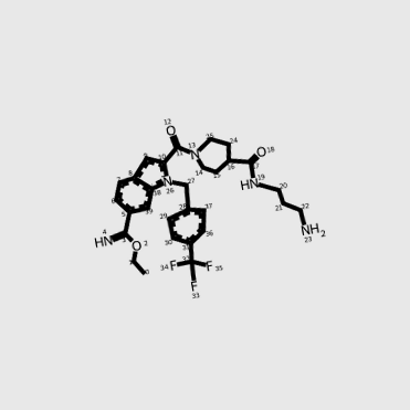 CCOC(=N)c1ccc2cc(C(=O)N3CCC(C(=O)NCCCN)CC3)n(Cc3ccc(C(F)(F)F)cc3)c2c1